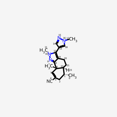 C[C@@H]1CC(C#N)=C[C@]2(C)c3nn(C)c(-c4cnn(C)c4)c3CC[C@@H]12